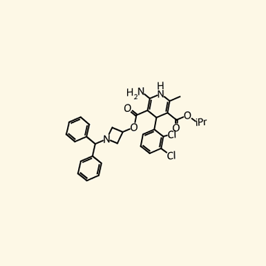 CC1=C(C(=O)OC(C)C)C(c2cccc(Cl)c2Cl)C(C(=O)OC2CN(C(c3ccccc3)c3ccccc3)C2)=C(N)N1